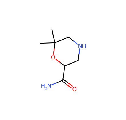 CC1(C)CNCC(C(N)=O)O1